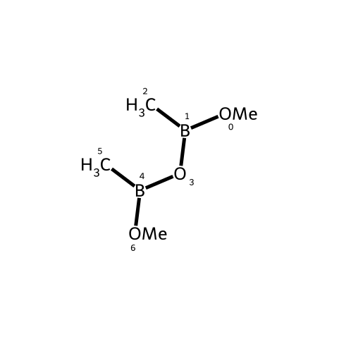 COB(C)OB(C)OC